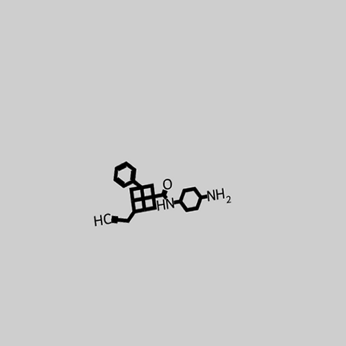 C#CCC1C2CC3(C(=O)NC4CCC(N)CC4)CC4(c5ccccc5)CC1C234